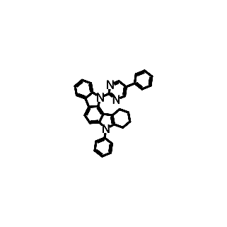 c1ccc(-c2cnc(-n3c4ccccc4c4ccc5c(c6c(n5-c5ccccc5)CCCC6)c43)nc2)cc1